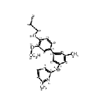 Cc1cc(Nc2nccc(C(F)(F)F)n2)cc(-c2ccc(OCCF)c(OC(=O)O)c2)c1